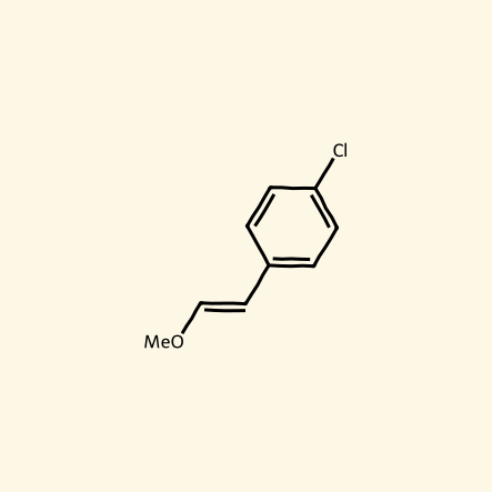 CO/C=C/c1ccc(Cl)cc1